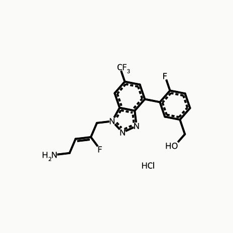 Cl.NC/C=C(\F)Cn1nnc2c(-c3cc(CO)ccc3F)cc(C(F)(F)F)cc21